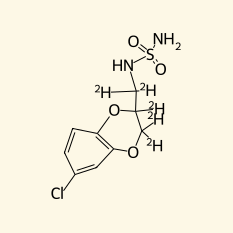 [2H]C([2H])(NS(N)(=O)=O)C1([2H])Oc2ccc(Cl)cc2OC1([2H])[2H]